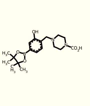 CC1(C)OB(c2ccc(CN3CCN(C(=O)O)CC3)c(O)c2)OC1(C)C